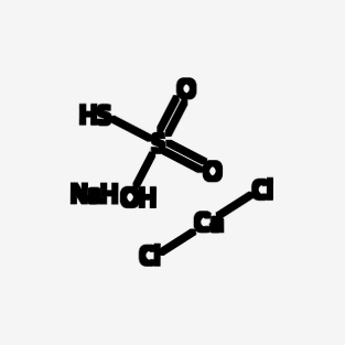 O=S(=O)(O)S.[Cl][Ca][Cl].[NaH]